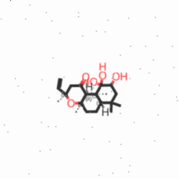 C=C[C@@]1(C)CC(=O)[C@@H]2[C@]3(C)[C@@H](CC[C@@]2(C)O1)C(C)(C)CC(O)C3(O)O